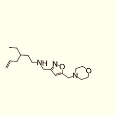 C=CCC(CC)CCNCc1cc(CN2CCOCC2)on1